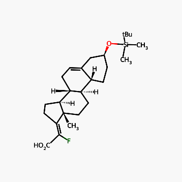 CC(C)(C)[Si](C)(C)O[C@H]1CC[C@H]2C(=CC[C@@H]3[C@@H]2CC[C@]2(C)C(=C(F)C(=O)O)CC[C@@H]32)C1